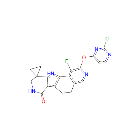 O=C1NCC2(CC2)c2[nH]c3c(c21)CCc1cnc(Oc2ccnc(Cl)n2)c(F)c1-3